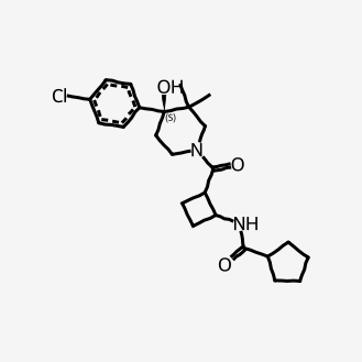 CC1(C)CN(C(=O)C2CCC2NC(=O)C2CCCC2)CC[C@]1(O)c1ccc(Cl)cc1